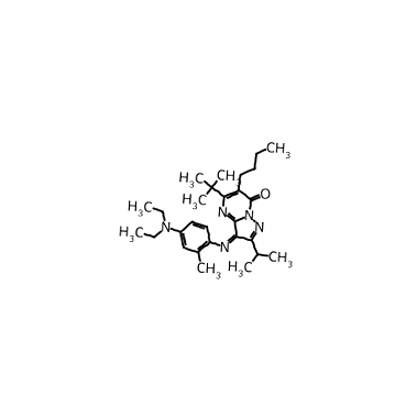 CCCCc1c(C(C)(C)C)nc2n(c1=O)N=C(C(C)C)C2=Nc1ccc(N(CC)CC)cc1C